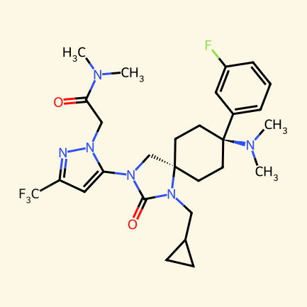 CN(C)C(=O)Cn1nc(C(F)(F)F)cc1N1C[C@]2(CC[C@](c3cccc(F)c3)(N(C)C)CC2)N(CC2CC2)C1=O